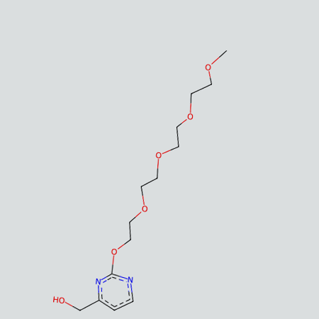 COCCOCCOCCOCCOc1nccc(CO)n1